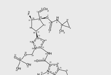 C=C[C@]1(OC(=O)NC2(C)CC2)C[C@@H](c2cc(NC(=O)c3cc(COC)nn3C)n(COP(=O)(O)O)n2)C[C@H]1F